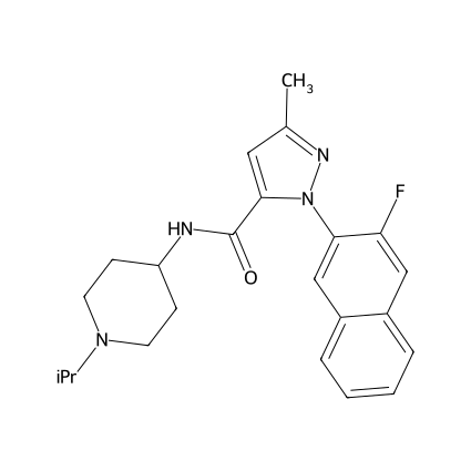 Cc1cc(C(=O)NC2CCN(C(C)C)CC2)n(-c2cc3ccccc3cc2F)n1